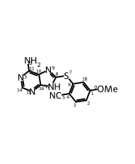 COc1ccc(C#N)c(Sc2nc3c(N)ncnc3[nH]2)c1